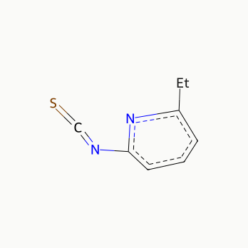 CCc1cccc(N=C=S)n1